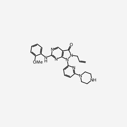 C=CCn1c(=O)c2cnc(Nc3ccccc3OC)nc2n1-c1cccc(N2CCNCC2)n1